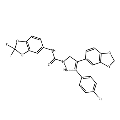 O=C(Nc1ccc2c(c1)OC(F)(F)O2)N1CC(c2ccc3c(c2)OCO3)=C(c2ccc(Cl)cc2)N1